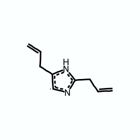 C=CCc1[c]nc(CC=C)[nH]1